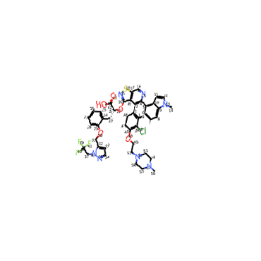 CC1=C(c2c(-c3cccc4c3ccn4C)ncc3snc(O[C@H](Cc4ccccc4OCc4ccnn4CC(F)(F)F)C(=O)O)c23)CCC(OCCN2CCN(C)CC2)=C1Cl